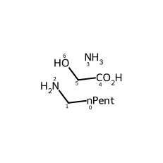 CCCCCCN.N.O=C(O)CO